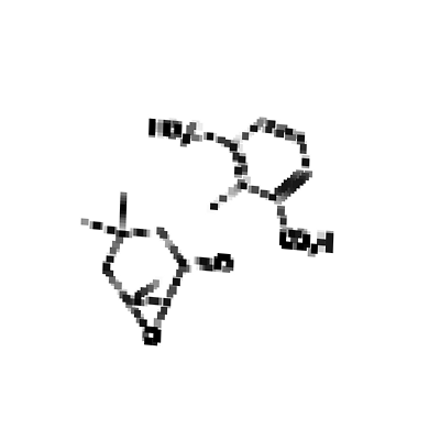 CC1(C)CC(=O)C2OC2(C)C1.Cc1c(C(=O)O)cccc1C(=O)O